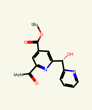 CNC(=O)c1cc(C(=O)OC(C)(C)C)cc([C@H](O)c2ccccn2)n1